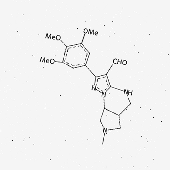 COc1cc(-c2nn3c(c2C=O)NCC2CN(C)CC23)cc(OC)c1OC